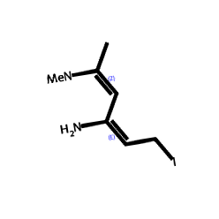 CN/C(C)=C\C(N)=C/CI